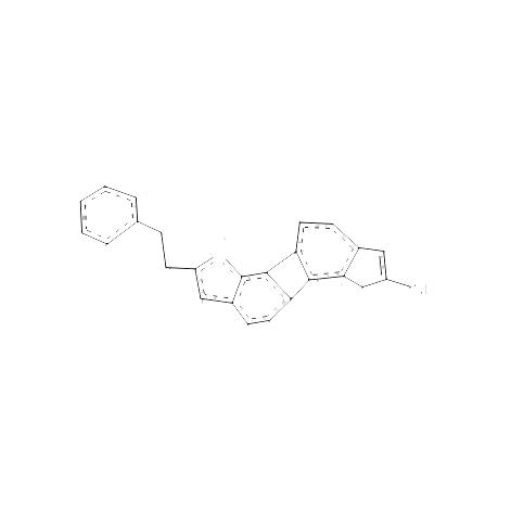 NC1=Cc2ccc3c(c2C1)-c1ccc2cc(CCc4ccccc4)sc2c1-3